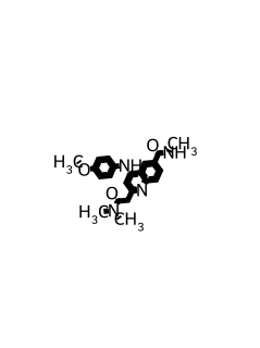 CNC(=O)c1ccc2nc(CC(=O)N(C)C)cc(Nc3ccc(OC)cc3)c2c1